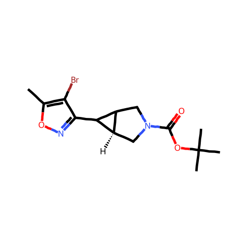 Cc1onc(C2C3CN(C(=O)OC(C)(C)C)C[C@H]32)c1Br